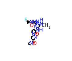 CNc1cc(Nc2cccn(-c3ccc(C(=O)N4CCC4)cn3)c2=O)nc2c(C(=O)N[C@H]3C[C@H]3F)cnn12